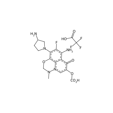 CN1COc2c(N3CCC(N)C3)c(F)c(N)c3c(=O)c(OC(=O)O)cn1c23.O=C(O)C(F)(F)F